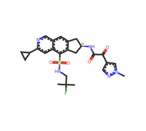 Cn1cc(C(=O)C(=O)N[C@@H]2Cc3cc4cnc(C5CC5)cc4c(S(=O)(=O)NCC(C)(C)F)c3C2)cn1